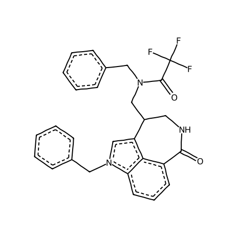 O=C1NCC(CN(Cc2ccccc2)C(=O)C(F)(F)F)c2cn(Cc3ccccc3)c3cccc1c23